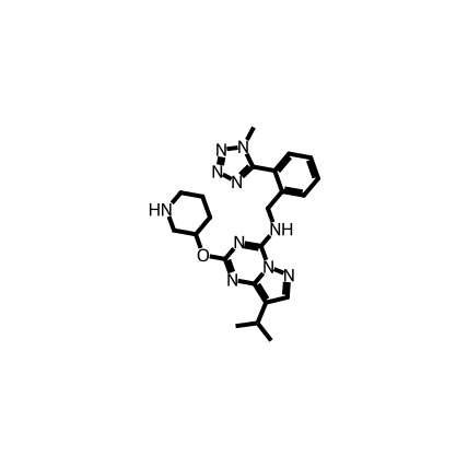 CC(C)c1cnn2c(NCc3ccccc3-c3nnnn3C)nc(OC3CCCNC3)nc12